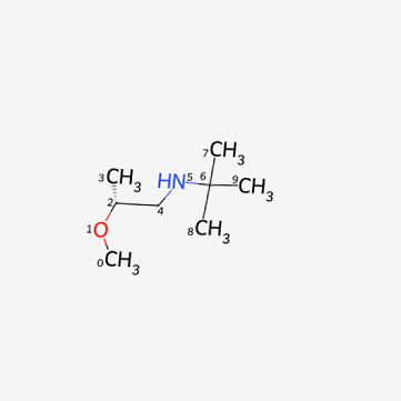 CO[C@H](C)CNC(C)(C)C